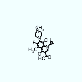 Cc1c(F)c(N2CCN(C)CC2)c(C)c2c1c(=O)c(C(=O)O)cn2C1CC1